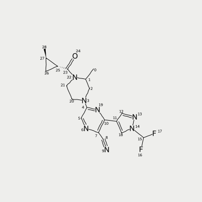 CC1CN(c2cnc(C#N)c(-c3cnn(C(F)F)c3)n2)CCN1C(=O)[C@@H]1C[C@H]1C